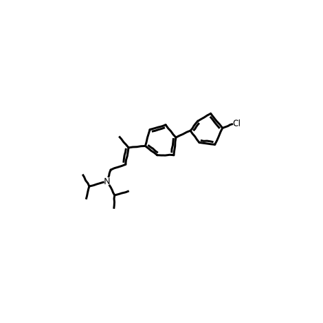 CC(=CCN(C(C)C)C(C)C)c1ccc(-c2ccc(Cl)cc2)cc1